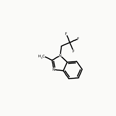 Cc1nc2c[c]ccc2n1CC(F)(F)F